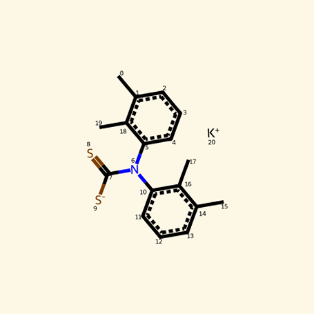 Cc1cccc(N(C(=S)[S-])c2cccc(C)c2C)c1C.[K+]